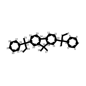 CCC(C)(c1ccccc1)c1ccc2c(c1)C(C)(C)c1cc(C(C)(CC)c3ccccc3)ccc1-2